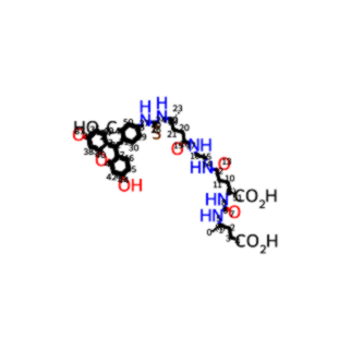 C[C@H](CCC(=O)O)NC(=O)N[C@@H](CCC(=O)NCCNC(=O)CC[C@@H](C)NC(=S)Nc1ccc(-c2c3ccc(=O)cc-3oc3cc(O)ccc23)c(C(=O)O)c1)C(=O)O